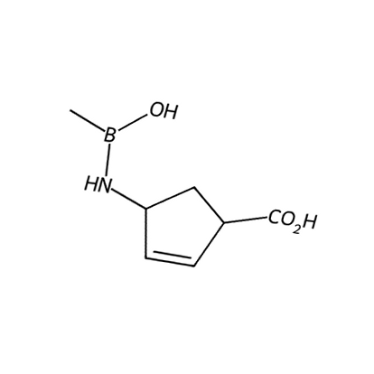 CB(O)NC1C=CC(C(=O)O)C1